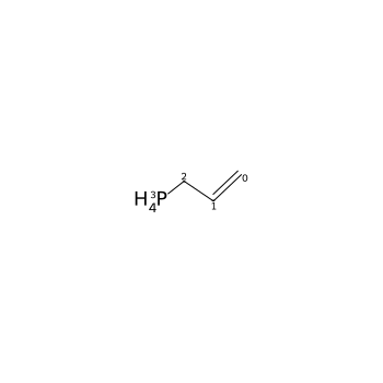 C=CC[PH4]